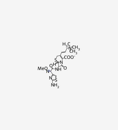 CO/N=C(\C(=O)NC1C(=O)N2C(C(=O)[O-])=C(C=CC[N+](C)(C)C)CS[C@@H]12)c1csc(N)n1